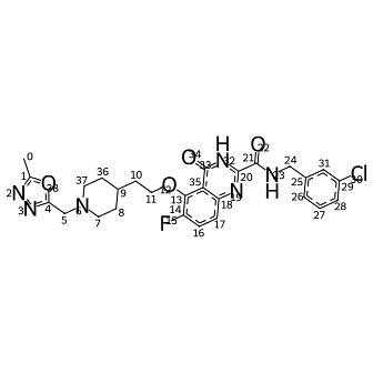 Cc1nnc(CN2CCC(CCOc3c(F)ccc4nc(C(=O)NCc5cccc(Cl)c5)[nH]c(=O)c34)CC2)o1